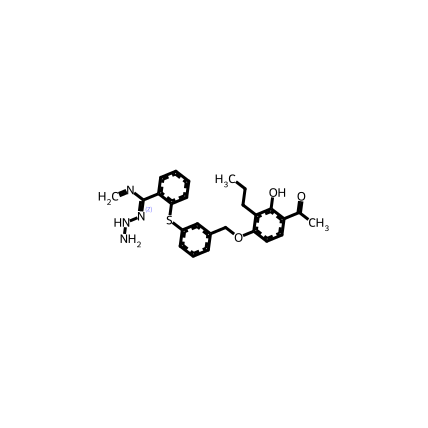 C=N/C(=N\NN)c1ccccc1Sc1cccc(COc2ccc(C(C)=O)c(O)c2CCC)c1